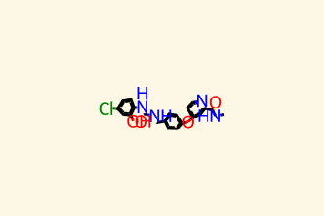 CNC(=O)c1cc(Oc2ccc(CNC(=O)Nc3ccc(Cl)cc3O)cc2)ccn1